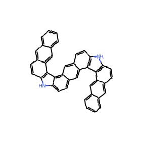 c1ccc2cc3c(ccc4[nH]c5ccc6cc7c(ccc8[nH]c9ccc%10cc%11ccccc%11cc%10c9c87)cc6c5c43)cc2c1